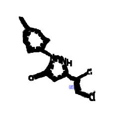 Cc1ccc(-n2[nH]c(/C(Cl)=C/Cl)cc2=O)cc1